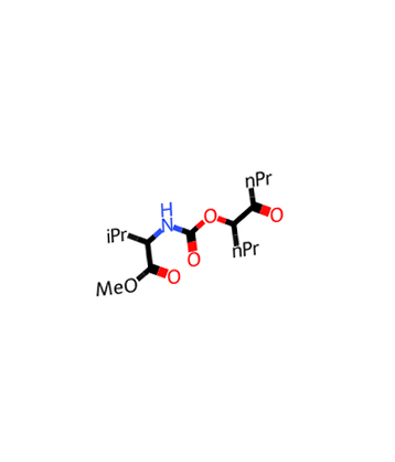 CCCC(=O)C(CCC)OC(=O)NC(C(=O)OC)C(C)C